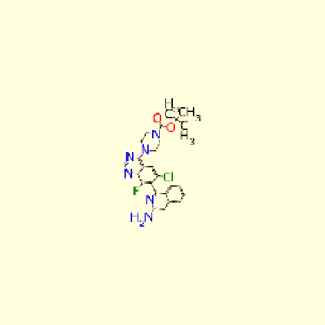 CC(C)(C)OC(=O)N1CCN(c2ncnc3c(F)c(-c4nc(N)cc5ccccc45)c(Cl)cc23)CC1